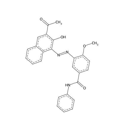 COc1ccc(C(=O)Nc2ccccc2)cc1/N=N/c1c(O)c(C(C)=O)cc2ccccc12